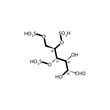 O=C[C@H](O)[C@@H](O)[C@H](OS(=O)(=O)O)[C@@H](COS(=O)(=O)O)OS(=O)(=O)O